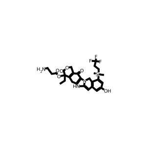 CCC1(OC(=O)CCN)C(=O)OCC2=C1CC1=C(C2=O)N2Cc3c(cc(O)cc3[Si](C)(C)CCC(F)(F)F)C=C2N1